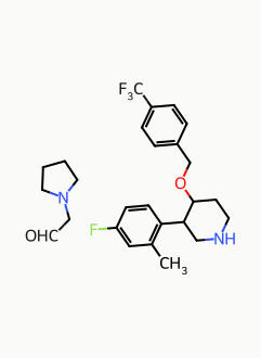 Cc1cc(F)ccc1C1CNCCC1OCc1ccc(C(F)(F)F)cc1.O=CCN1CCCC1